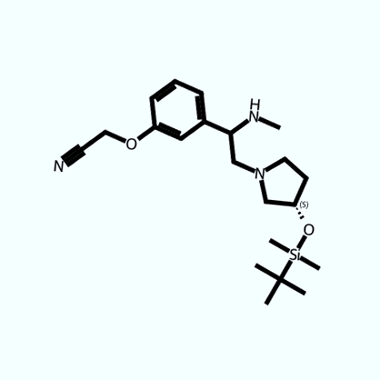 CNC(CN1CC[C@H](O[Si](C)(C)C(C)(C)C)C1)c1cccc(OCC#N)c1